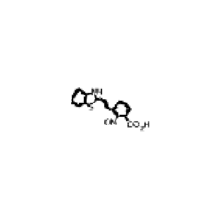 O=Nc1c(/C=C/C2Nc3ccccc3S2)cccc1C(=O)O